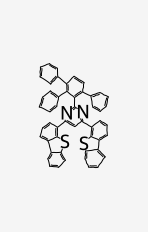 c1ccc(-c2ccc(-c3ccccc3)c(-c3nc(-c4cccc5c4sc4ccccc45)cc(-c4cccc5c4sc4ccccc45)n3)c2-c2ccccc2)cc1